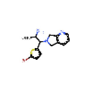 NC(C=O)C(c1ccc(Br)s1)N1Cc2cccnc2C1